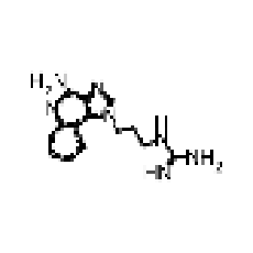 N=C(N)NCCCn1cnc2c(N)nc3ccccc3c21